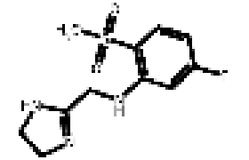 CS(=O)(=O)c1ccc(F)cc1NCC1=NCCN1